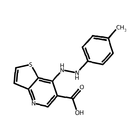 Cc1ccc(NNc2c(C(=O)O)cnc3ccsc23)cc1